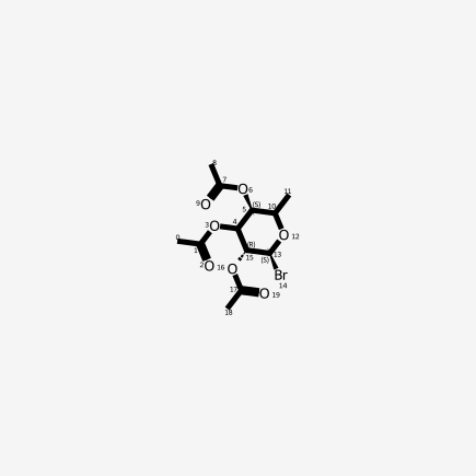 CC(=O)OC1[C@@H](OC(C)=O)C(C)O[C@@H](Br)[C@@H]1OC(C)=O